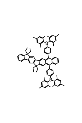 CCC1(CC)c2ccccc2-c2cc3c(cc21)-c1cc2c(-c4ccc(B(c5c(C)cc(C)cc5C)c5c(C)cc(C)cc5C)cc4)c4ccccc4c(-c4ccc(B(c5c(C)cc(C)cc5C)c5c(C)cc(C)cc5C)cc4)c2cc1C3(CC)CC